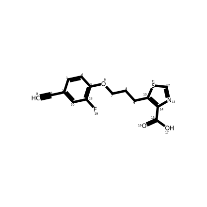 C#Cc1ccc(OCCCc2scnc2C(=O)O)c(F)c1